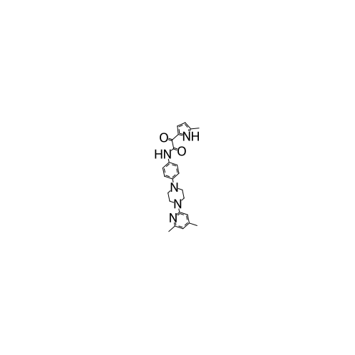 Cc1cc(C)nc(N2CCN(c3ccc(NC(=O)C(=O)c4ccc(C)[nH]4)cc3)CC2)c1